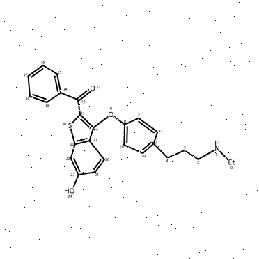 CCNCCCc1ccc(Oc2c(C(=O)c3ccccc3)sc3cc(O)ccc23)cc1